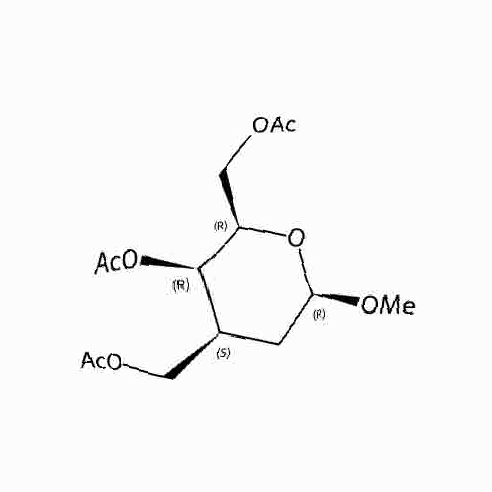 CO[C@H]1C[C@@H](COC(C)=O)[C@@H](OC(C)=O)[C@@H](COC(C)=O)O1